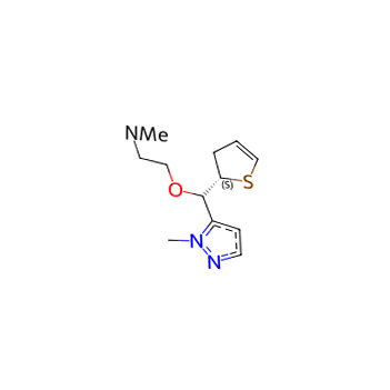 CNCCOC(c1ccnn1C)[C@@H]1CC=CS1